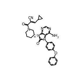 N#CC(=CC1CC1)C(=O)N1CCC[C@@H](n2c(=O)n(-c3ccc(Oc4ccccc4)cc3)c3c(N)ncnc32)C1